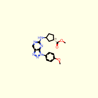 COC(=O)[C@H]1CCC(Nc2ncc3nnn(-c4ccc(OC)cc4)c3n2)C1